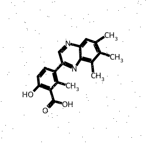 Cc1cc2ncc(-c3ccc(O)c(C(=O)O)c3C)nc2c(C)c1C